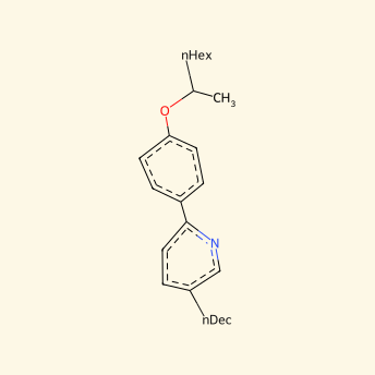 CCCCCCCCCCc1ccc(-c2ccc(OC(C)CCCCCC)cc2)nc1